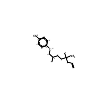 C=CCC(C)(N)CCC(C)COc1ccc(CC)cc1